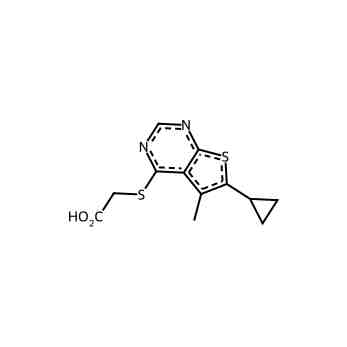 Cc1c(C2CC2)sc2ncnc(SCC(=O)O)c12